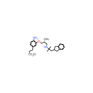 CCOC(=O)CCc1ccc(N)c(OC[C@@H](CNC(C)(C)CC2Cc3ccccc3C2)OC(C)=O)c1